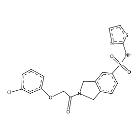 O=C(COc1cccc(Cl)c1)N1Cc2ccc(S(=O)(=O)Nc3nccs3)cc2C1